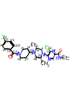 CCNC(=O)c1cnc(N2C[C@H](CC)N(C3CCN(C(=O)c4ccc(Cl)cc4)CC3)C[C@H]2C)c(Cl)n1